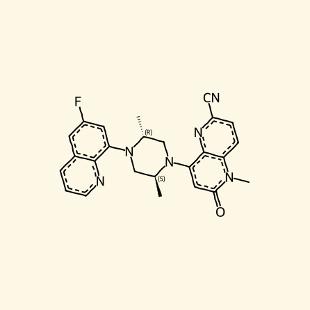 C[C@@H]1CN(c2cc(=O)n(C)c3ccc(C#N)nc23)[C@@H](C)CN1c1cc(F)cc2cccnc12